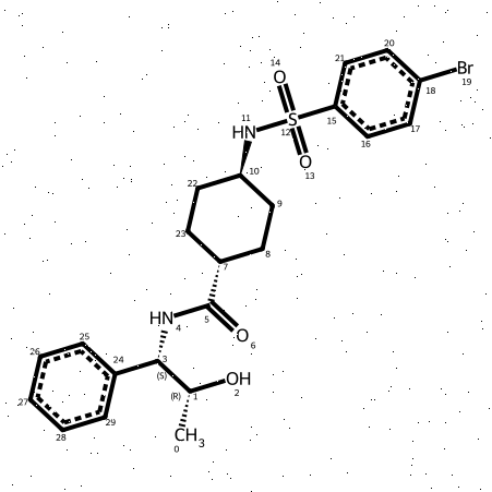 C[C@@H](O)[C@@H](NC(=O)[C@H]1CC[C@H](NS(=O)(=O)c2ccc(Br)cc2)CC1)c1ccccc1